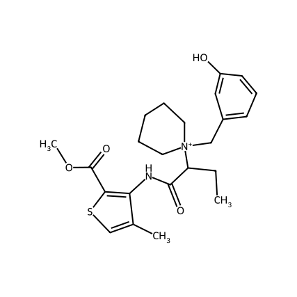 CCC(C(=O)Nc1c(C)csc1C(=O)OC)[N+]1(Cc2cccc(O)c2)CCCCC1